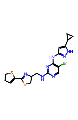 Brc1cnc(NCC2CSC(C3=CCCS3)=N2)nc1Nc1cc(C2CC2)[nH]n1